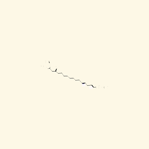 CCCCC/C=C/C/C=C/CCCCCCCCC(=O)CC(OCC)OCC